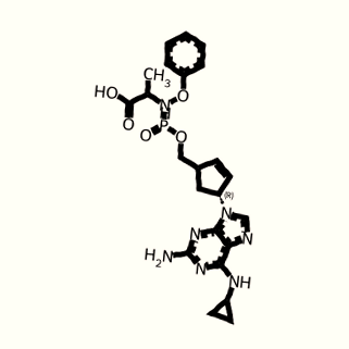 CC(C(=O)O)N(Oc1ccccc1)[PH](=O)OCC1C=C[C@H](n2cnc3c(NC4CC4)nc(N)nc32)C1